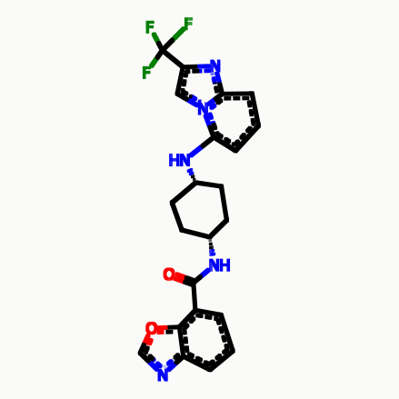 O=C(N[C@H]1CC[C@@H](Nc2cccc3nc(C(F)(F)F)cn23)CC1)c1cccc2ncoc12